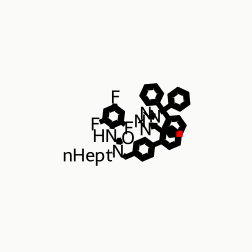 CCCCCCCN(Cc1ccc(-c2ccccc2-c2nnnn2C(c2ccccc2)(c2ccccc2)c2ccccc2)cc1)C(=O)Nc1c(F)cc(F)cc1F